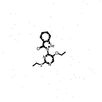 CCOc1cnc(SCC)nc1-n1[se]c2ccccc2c1=O